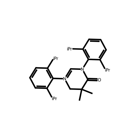 CC(C)c1cccc(C(C)C)c1N1C=[N+](c2c(C(C)C)cccc2C(C)C)CC(C)(C)C1=O